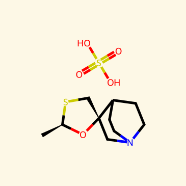 C[C@@H]1O[C@@]2(CS1)CN1CCC2CC1.O=S(=O)(O)O